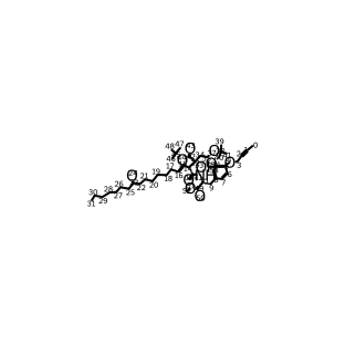 CC#CCOc1ccc(C[C@H](NC(=O)[C@@H](/C=C/CCCCCCC(=O)CCCCCCC)[C@@](O)(CC(=O)OC(C)(C)C)C(=O)OC(C)(C)C)C(=O)OC)cc1